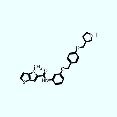 Cn1c(C(=O)Nc2cccc(OCc3ccc(OCC4CCNC4)cc3)c2)cc2sccc21